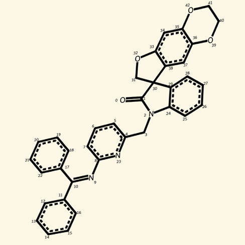 O=C1N(Cc2cccc(N=C(c3ccccc3)c3ccccc3)n2)c2ccccc2C12COc1cc3c(cc12)OCCO3